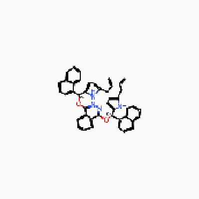 C=CCc1ccc([C@@H](Oc2nnc(O[C@H](c3ccc(CC=C)[nH]3)c3cccc4ccccc34)c3ccccc23)c2cccc3ccccc23)[nH]1